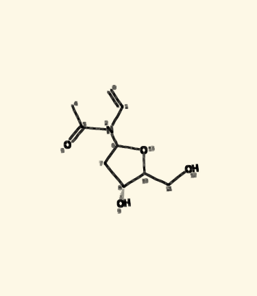 C=CN(C(C)=O)C1C[C@@H](O)C(CO)O1